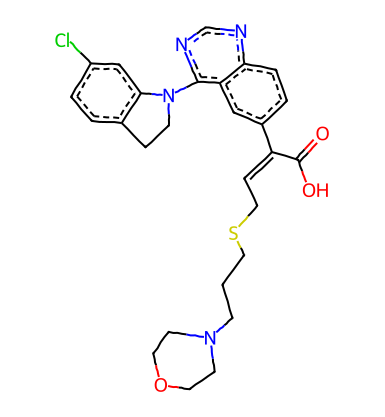 O=C(O)C(=CCSCCCN1CCOCC1)c1ccc2ncnc(N3CCc4ccc(Cl)cc43)c2c1